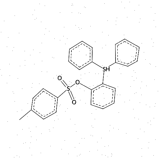 Cc1ccc(S(=O)(=O)Oc2ccccc2[SH](c2ccccc2)c2ccccc2)cc1